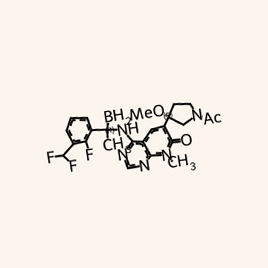 B[C@](C)(Nc1ncnc2c1cc([C@@]1(OC)CCN(C(C)=O)C1)c(=O)n2C)c1cccc(C(F)F)c1F